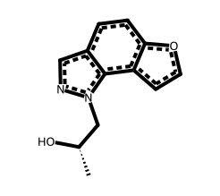 C[C@H](O)Cn1ncc2ccc3occc3c21